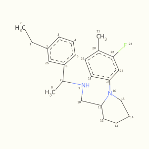 CCc1cccc(C(C)NCC2CCCCN2c2ccc(C)c(F)c2)c1